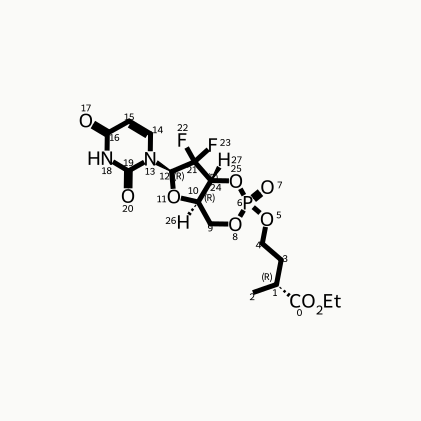 CCOC(=O)[C@H](C)CCOP1(=O)OC[C@H]2O[C@@H](n3ccc(=O)[nH]c3=O)C(F)(F)[C@@H]2O1